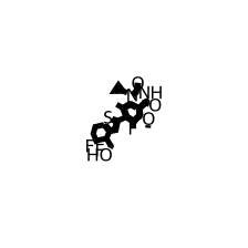 COc1c(F)c(-c2cc3c(s2)CCC(F)(F)C3CO)c(C)c2c1c(=O)[nH]c(=O)n2C1CC1